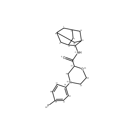 O=C(NC1C2CC3CC(C2)CC1C3)C1CN(c2ccc(F)cc2)CCO1